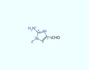 Cn1cc(C=O)nc1N